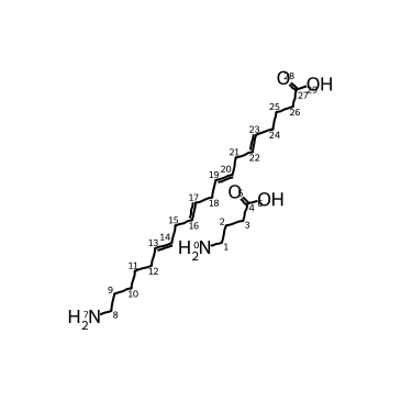 NCCCC(=O)O.NCCCCCC=CCC=CCC=CCC=CCCCC(=O)O